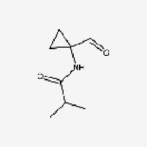 CC(C)C(=O)NC1(C=O)CC1